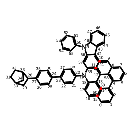 c1ccc(-c2cccc3cccc(-c4ccccc4N(c4ccc(-c5ccc(C6CC7CCC6C7)cc5)cc4)c4ccc5c6ccccc6n(-c6ccccc6)c5c4)c23)cc1